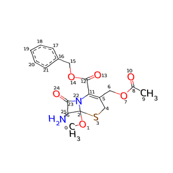 COC12SCC(COC(C)=O)=C(C(=O)OCc3ccccc3)N1C(=O)C2N